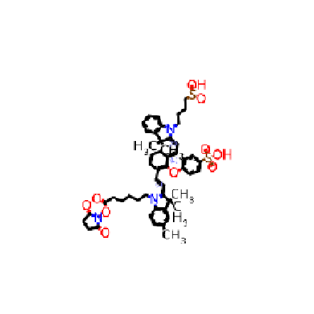 Cc1ccc2c(c1)C(C)(C)C(/C=C/C1=C(Oc3ccc(S(=O)(=O)O)cc3)C(=C/C=C3/N(CCCCS(=O)O)c4ccccc4C3(C)C)/CCC1)=[N+]2CCCCCC(=O)ON1C(=O)CCC1=O